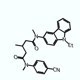 CCn1c2ccccc2c2cc(N(C)C(=O)CC(C)CC(=O)N(C)c3ccc(C#N)cc3)ccc21